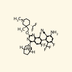 CN1CC[C@H](C(F)F)[C@](C)(COc2nc(N3C[C@H]4CC[C@@H](C3)N4)c3cc(F)c(-c4c(C#N)c(N)cc(F)c4C(F)(F)F)c(F)c3n2)C1